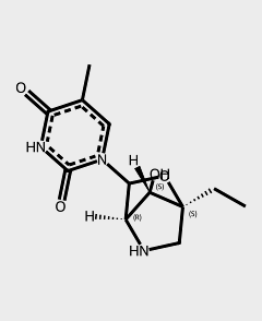 CC[C@@]12CN[C@@H](C(n3cc(C)c(=O)[nH]c3=O)O1)[C@@H]2O